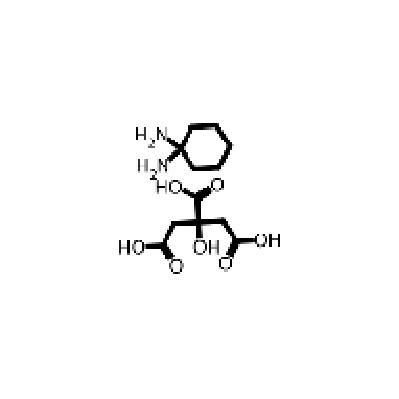 NC1(N)CCCCC1.O=C(O)CC(O)(CC(=O)O)C(=O)O